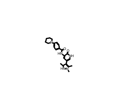 CC1=C(c2c[nH]c(=O)c(NC(=O)c3ccc(N4CCCCC4)cc3)c2)C(C)NN1C